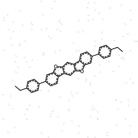 CCc1ccc(-c2ccc3c(c2)oc2cc4c(cc23)oc2cc(-c3ccc(CC)cc3)ccc24)cc1